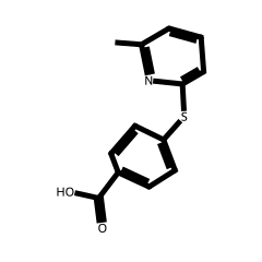 Cc1cccc(Sc2ccc(C(=O)O)cc2)n1